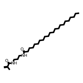 C=C(C)C(=O)NCCCNC(=O)CCCCCCCCCCCCCCCCCCCCC